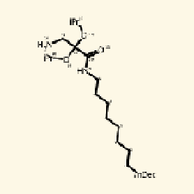 CCCCCCCCCCCCCCCCCCNC(=O)C(CN)(OC(C)C)OC(C)C